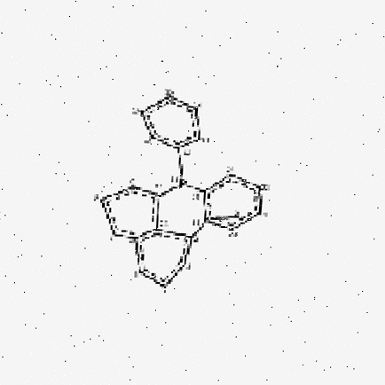 CSc1cccc2cccc(P(c3ccccc3)c3ccccc3)c12